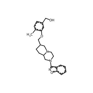 Cc1ccc(CO)cc1OCC1CCC2CN(c3noc4ccccc34)CCN2C1